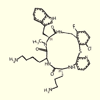 CN1C(=O)C(CCCCN)NC(=O)[C@@H](CCCN)Nc2cccnc2Sc2c(Cl)ccc(F)c2CNC(=O)[C@@H]1Cc1c[nH]c2ccccc12